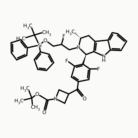 C[C@@H]1Cc2c([nH]c3ccccc23)[C@@H](c2c(F)cc(C(=O)C3CN(C(=O)OC(C)(C)C)C3)cc2F)N1CC(F)CO[Si](c1ccccc1)(c1ccccc1)C(C)(C)C